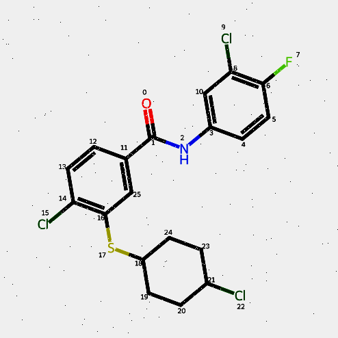 O=C(Nc1ccc(F)c(Cl)c1)c1ccc(Cl)c(SC2CCC(Cl)CC2)c1